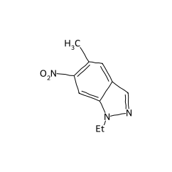 CCn1ncc2cc(C)c([N+](=O)[O-])cc21